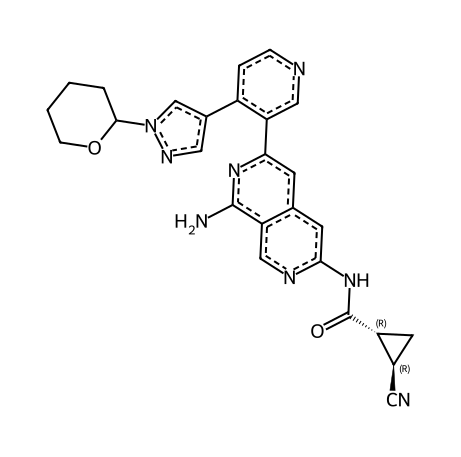 N#C[C@@H]1C[C@H]1C(=O)Nc1cc2cc(-c3cnccc3-c3cnn(C4CCCCO4)c3)nc(N)c2cn1